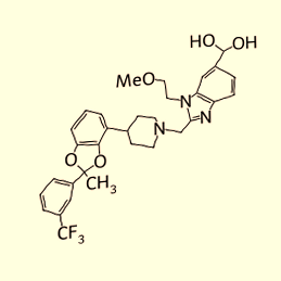 COCCn1c(CN2CCC(c3cccc4c3OC(C)(c3cccc(C(F)(F)F)c3)O4)CC2)nc2ccc(C(O)O)cc21